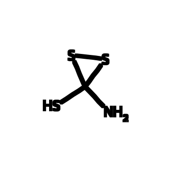 NC1(S)SS1